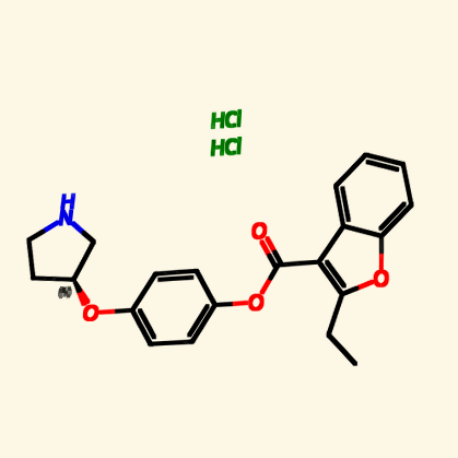 CCc1oc2ccccc2c1C(=O)Oc1ccc(O[C@H]2CCNC2)cc1.Cl.Cl